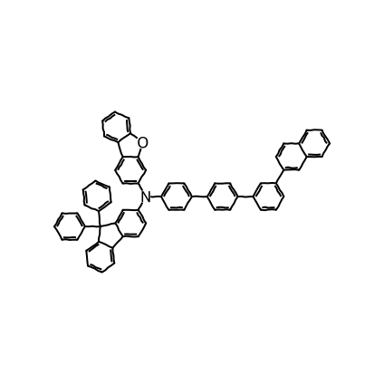 c1ccc(C2(c3ccccc3)c3ccccc3-c3ccc(N(c4ccc(-c5ccc(-c6cccc(-c7ccc8ccccc8c7)c6)cc5)cc4)c4ccc5c(c4)oc4ccccc45)cc32)cc1